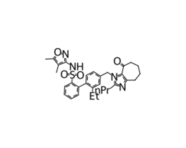 CCCc1nc2c(n1Cc1ccc(-c3ccccc3S(=O)(=O)Nc3noc(C)c3C)c(CC)c1)C(=O)CCCC2